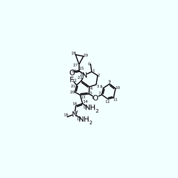 CC1CCc2c(Oc3ccccc3)c(/C(N)=C/N(C)N)cc(F)c2N1C(=O)C1CC1